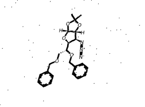 CC1(C)O[C@H]2O[C@H]([C@@H](COCc3ccccc3)OCc3ccccc3)[C@H](N=[N+]=[N-])[C@H]2O1